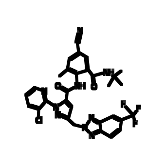 Cc1cc(C#N)cc(C(=O)NC(C)(C)C)c1NC(=O)c1cc(Cn2nc3ccc(C(F)(F)F)cc3n2)nn1-c1ncccc1Cl